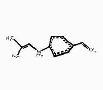 C=Cc1ccc([SiH2]C=C(C)C)cc1